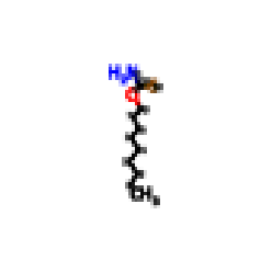 CCCCCCCCCOC(N)=S